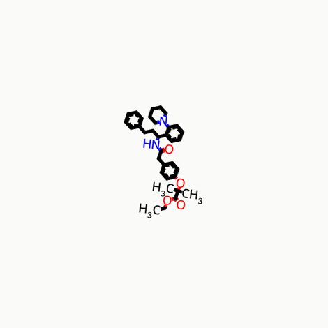 CCOC(=O)C(C)(C)Oc1ccc(CC(=O)NC(CCc2ccccc2)c2ccccc2N2CCCCC2)cc1